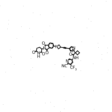 N#Cc1ncc(NC(=O)C2(n3cc(C#CC4CN(c5ccc6c(c5)C(=O)N(C5CCC(=O)NC5=O)C6=O)C4)cn3)CCC2)cc1C(F)(F)F